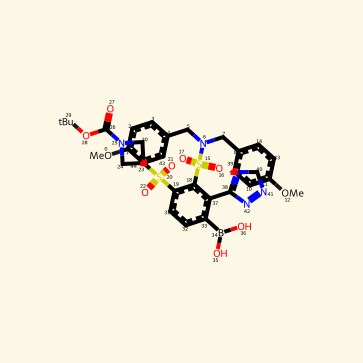 COc1ccc(CN(Cc2ccc(OC)cc2)S(=O)(=O)c2c(S(=O)(=O)C3CN(C(=O)OC(C)(C)C)C3)ccc(B(O)O)c2C2=NCN=N2)cc1